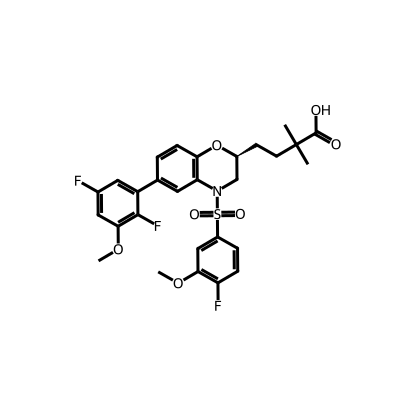 COc1cc(S(=O)(=O)N2C[C@H](CCC(C)(C)C(=O)O)Oc3ccc(-c4cc(F)cc(OC)c4F)cc32)ccc1F